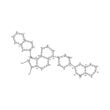 Cc1c(C)n(-c2ccc3ccccc3c2)c2c1ccc1c(-c3ccc(-c4cnc5ccccc5c4)nc3)cccc12